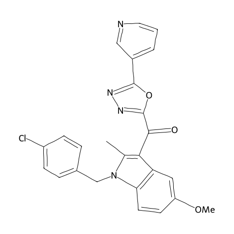 COc1ccc2c(c1)c(C(=O)c1nnc(-c3cccnc3)o1)c(C)n2Cc1ccc(Cl)cc1